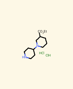 CCOC(=O)C1CCCN(C2CCNCC2)C1.Cl.Cl